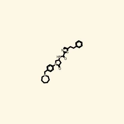 O=C(NC1CC(=O)N(c2ccc(CN3CCCCCC3)cc2)C1)c1ncc(CCc2ccccc2)s1